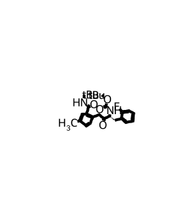 Cc1ccc(CC(=O)[C@@H](Cc2ccccc2F)NC(=O)OC(C)(C)C)c(C(=O)NC(C)(C)C)c1